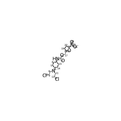 O=C(Nc1ccc(N(CCCl)CCCl)cc1)OCc1ccc([N+](=O)[O-])o1